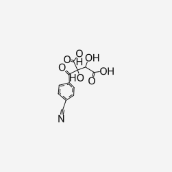 N#Cc1ccc(C(=O)C(O)(C(=O)O)C(O)C(=O)O)cc1